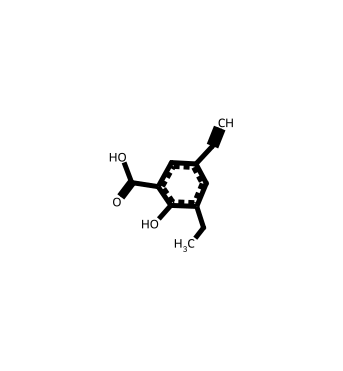 C#Cc1cc(CC)c(O)c(C(=O)O)c1